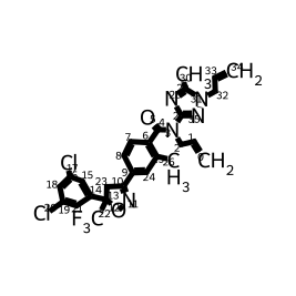 C=CCN(C(=O)c1ccc(C2=NOC(c3cc(Cl)cc(Cl)c3)(C(F)(F)F)C2)cc1C)c1nc(C)n(CC=C)n1